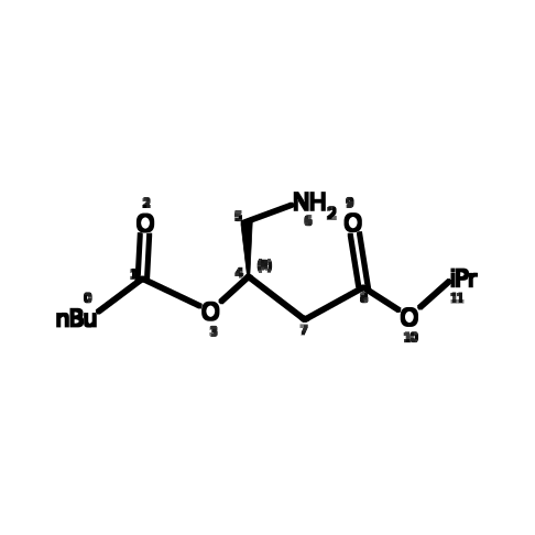 CCCCC(=O)O[C@@H](CN)CC(=O)OC(C)C